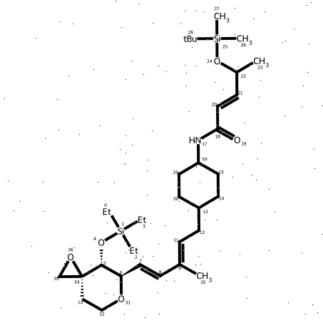 CC[Si](CC)(CC)O[C@@H]1[C@@H](C=CC(C)=CCC2CCC(NC(=O)C=CC(C)O[Si](C)(C)C(C)(C)C)CC2)OCC[C@@]12CO2